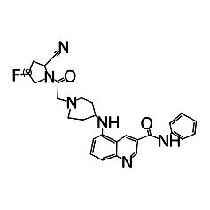 N#CC1C[C@H](F)CN1C(=O)CN1CCC(Nc2cccc3ncc(C(=O)Nc4ccccc4)cc23)CC1